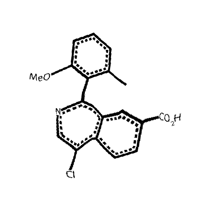 COc1cccc(C)c1-c1ncc(Cl)c2ccc(C(=O)O)cc12